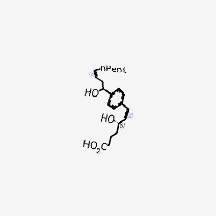 CCCCC/C=C\CC(O)c1ccc(/C=C\[C@@H](O)CCCC(=O)O)cc1